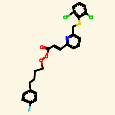 O=C(C=Cc1cccc(CSc2c(Cl)cccc2Cl)n1)OOCCCCc1ccc(F)cc1